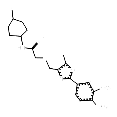 COc1ccc(-c2nc(CSCC(=O)NC3CCC(C)CC3)c(C)o2)cc1OC